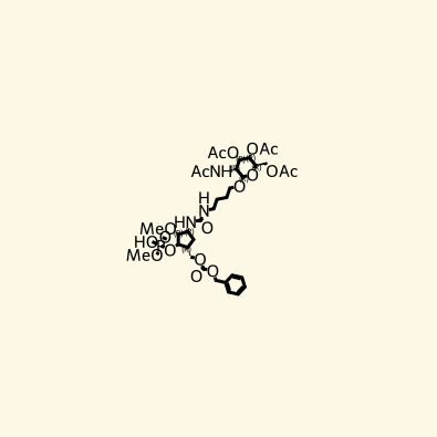 CO[C@H]1C(OP(=O)(O)OC)[C@@H](COC(=O)OCc2ccccc2)C[C@H]1NC(=O)NCCCCO[C@@H]1O[C@H](COC(C)=O)[C@H](OC(C)=O)[C@H](OC(C)=O)[C@H]1NC(C)=O